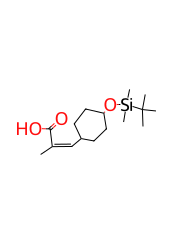 CC(=CC1CCC(O[Si](C)(C)C(C)(C)C)CC1)C(=O)O